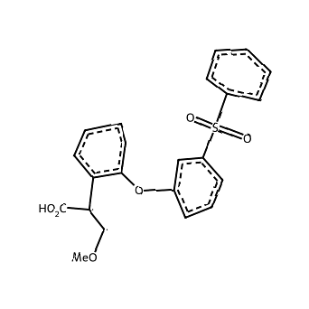 CO[CH][C](C(=O)O)c1ccccc1Oc1cccc(S(=O)(=O)c2ccccc2)c1